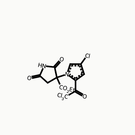 CCOC(=O)C1(n2cc(Cl)cc2C(=O)C(Cl)(Cl)Cl)CC(=O)NC1=O